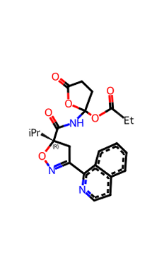 CCC(=O)OC1(NC(=O)[C@]2(C(C)C)CC(c3nccc4ccccc34)=NO2)CCC(=O)O1